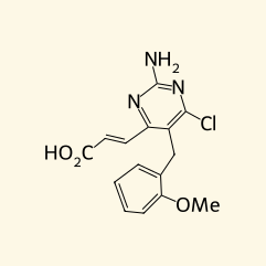 COc1ccccc1Cc1c(Cl)nc(N)nc1/C=C/C(=O)O